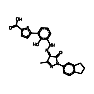 CC1=NN(c2ccc3c(c2)CCC3)C(=O)/C1=N\Nc1cccc(-c2ccc(C(=O)O)s2)c1O